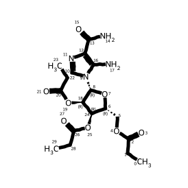 CCC(=O)OC[C@H]1O[C@@H](n2cnc(C(N)=O)c2N)[C@H](OC(=O)CC)[C@@H]1OC(=O)CC